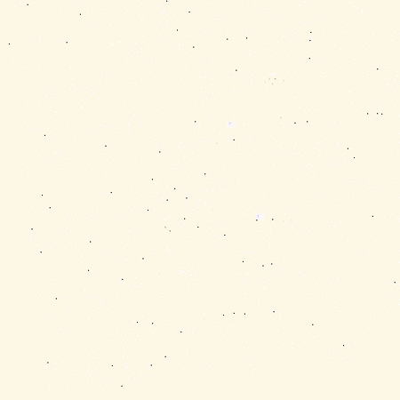 COC(=O)/C=C/C(=O)OCC(CN1CCOCC1)OC(=O)/C=C/C(=O)O